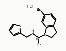 C[CH][C@@H](NCc1cccs1)N1CCc2ccc(Br)cc21.Cl